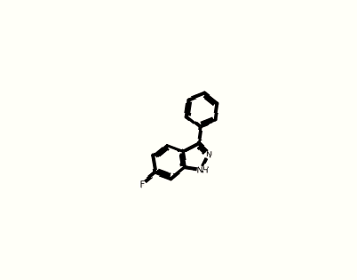 Fc1ccc2c(-c3ccccc3)n[nH]c2c1